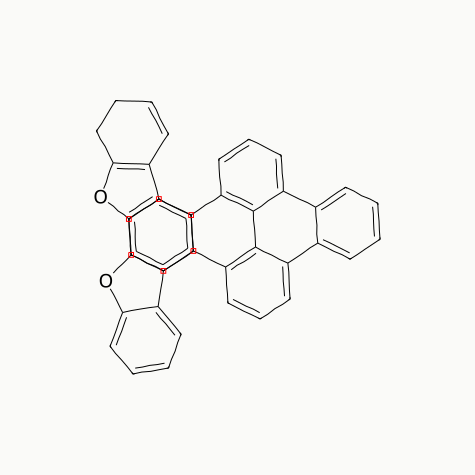 C1=Cc2c(oc3ccc(-c4cccc5c6ccccc6c6cccc(-c7ccc8oc9ccccc9c8c7)c6c45)cc23)CC1